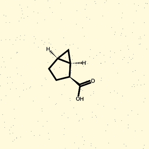 O=C(O)[C@H]1CC[C@H]2C[C@H]21